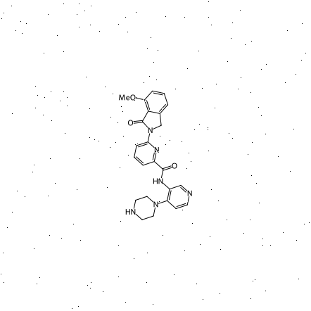 COc1cccc2c1C(=O)N(c1cccc(C(=O)Nc3cnccc3N3CCNCC3)n1)C2